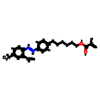 C=C(C)C(=O)OCCCCCCc1ccc(N=Nc2ccc([N+](=O)[O-])cc2NC)cc1